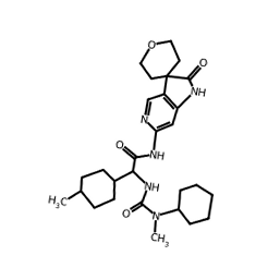 CC1CCC(C(NC(=O)N(C)C2CCCCC2)C(=O)Nc2cc3c(cn2)C2(CCOCC2)C(=O)N3)CC1